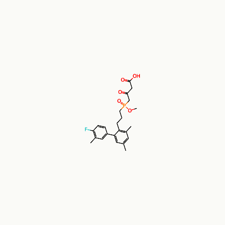 COP(=O)(CCCc1c(C)cc(C)cc1-c1ccc(F)c(C)c1)CC(=O)CC(=O)O